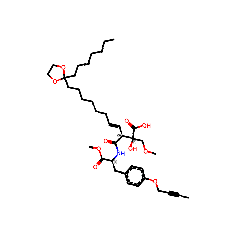 CC#CCOc1ccc(C[C@H](NC(=O)[C@@H](C=CCCCCCCC2(CCCCCCC)OCCO2)[C@@](O)(COC)C(=O)O)C(=O)OC)cc1